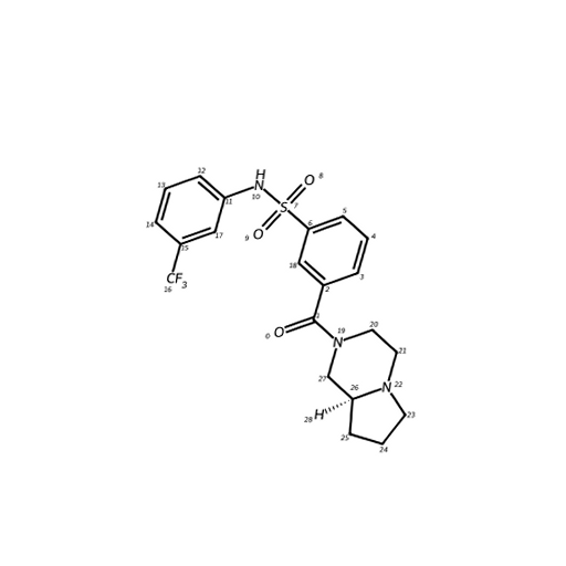 O=C(c1cccc(S(=O)(=O)Nc2cccc(C(F)(F)F)c2)c1)N1CCN2CCC[C@H]2C1